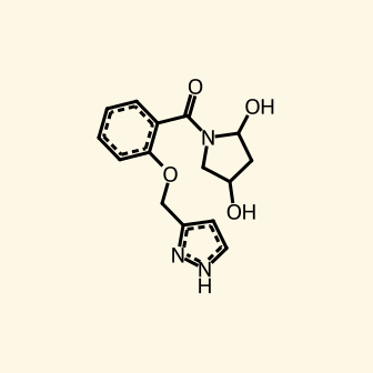 O=C(c1ccccc1OCc1cc[nH]n1)N1CC(O)CC1O